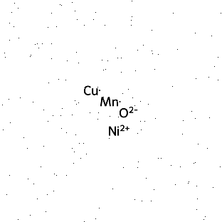 [Cu].[Mn].[Ni+2].[O-2]